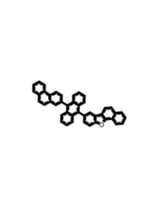 c1ccc2c(c1)ccc1cc(-c3c4ccccc4c(-c4ccc5oc6c7ccccc7ccc6c5c4)c4ccccc34)ccc12